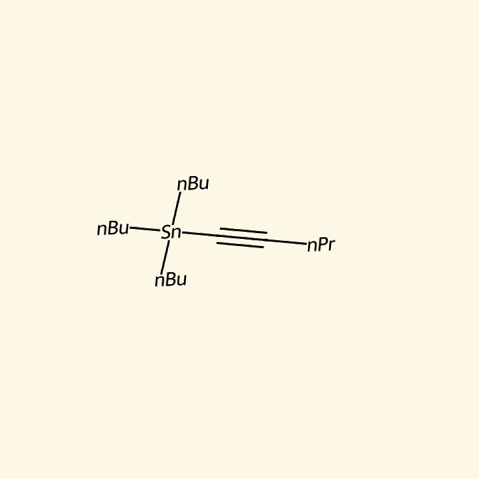 CCCC#[C][Sn]([CH2]CCC)([CH2]CCC)[CH2]CCC